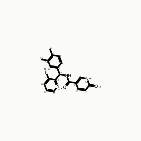 Cc1ccc(C(NC(=O)c2ccc(=O)[nH]c2)c2ncccc2F)cc1C